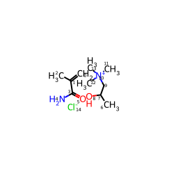 C=C(C)C(N)=O.CC(O)C[N+](C)(C)C.[Cl-]